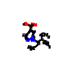 CC(C)C(C)n1cc(C(=O)O)cn1